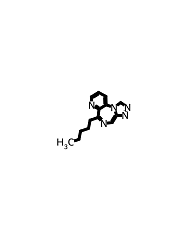 CCCCCC1=NC=C2N=NCN2c2cccnc21